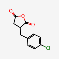 O=C1CC(Cc2ccc(Cl)cc2)C(=O)O1